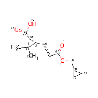 CC1(C)C(C=CC(=O)OCC2CC2)C1C(=O)O